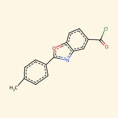 Cc1ccc(-c2nc3cc(C(=O)Cl)ccc3o2)cc1